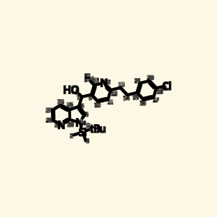 CC(C)(C)[Si](C)(C)n1cc(C(O)c2ccc(CCc3ccc(Cl)cc3)nc2F)c2cccnc21